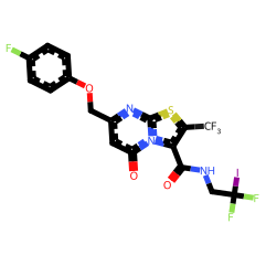 O=C(NCC(F)(F)I)c1c(C(F)(F)F)sc2nc(COc3ccc(F)cc3)cc(=O)n12